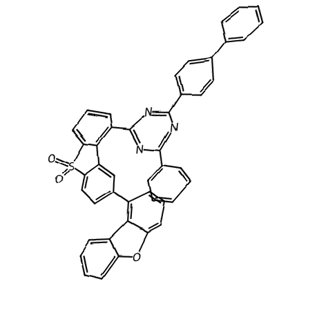 O=S1(=O)c2ccc(-c3cccc4oc5ccccc5c34)cc2-c2c(-c3nc(-c4ccccc4)nc(-c4ccc(-c5ccccc5)cc4)n3)cccc21